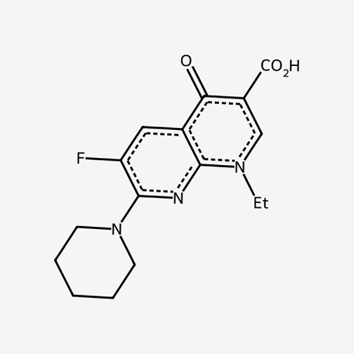 CCn1cc(C(=O)O)c(=O)c2cc(F)c(N3CCCCC3)nc21